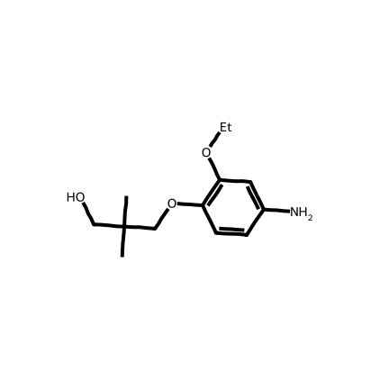 CCOc1cc(N)ccc1OCC(C)(C)CO